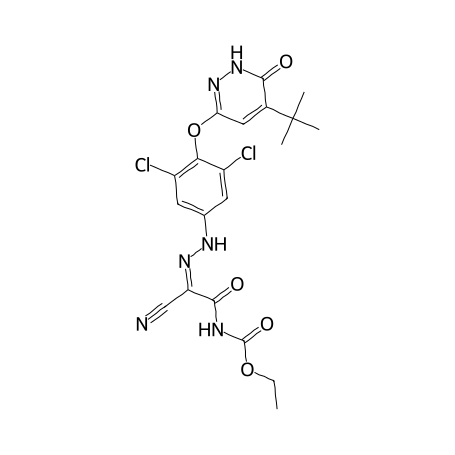 CCOC(=O)NC(=O)/C(C#N)=N\Nc1cc(Cl)c(Oc2cc(C(C)(C)C)c(=O)[nH]n2)c(Cl)c1